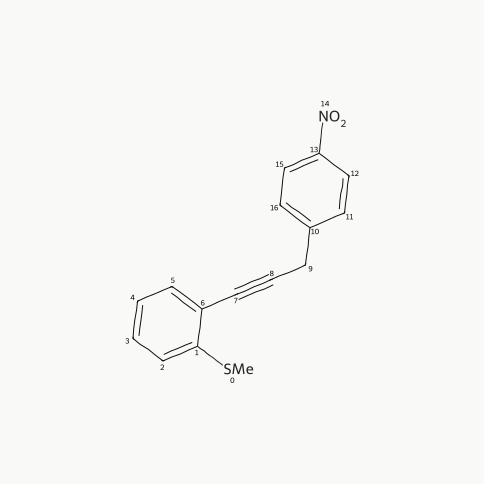 CSc1ccccc1C#CCc1ccc([N+](=O)[O-])cc1